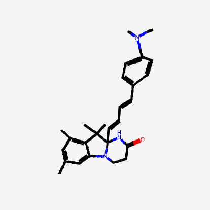 Cc1cc(C)c2c(c1)N1CCC(=O)NC1(/C=C/C=C/c1ccc(N(C)C)cc1)C2(C)C